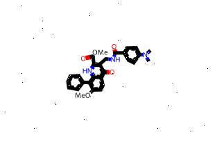 COC(=O)c1[nH]c2c(-c3ccccc3)c(OC)ccc2c(=O)c1CNC(=O)c1ccc(N(C)C)cc1